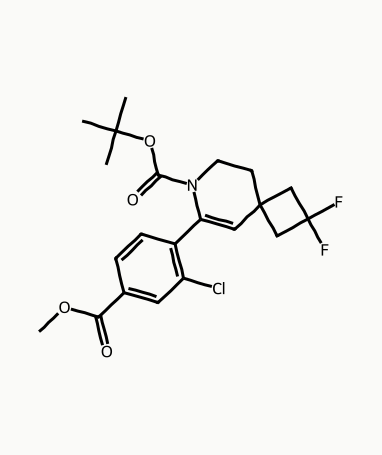 COC(=O)c1ccc(C2=CC3(CCN2C(=O)OC(C)(C)C)CC(F)(F)C3)c(Cl)c1